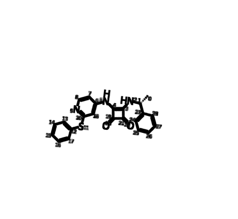 C[C@@H](Nc1c(Nc2ccnc(Sc3ccccc3)c2)c(=O)c1=O)c1ccccc1